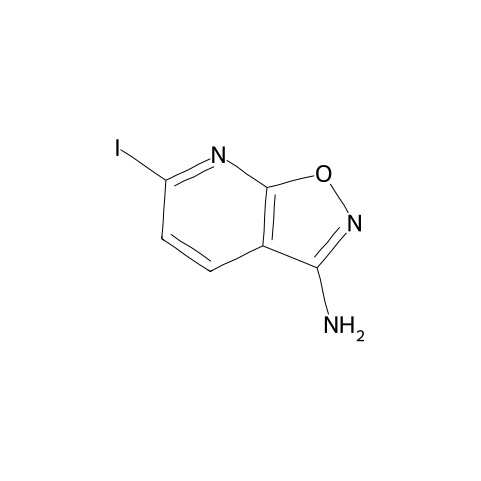 Nc1noc2nc(I)ccc12